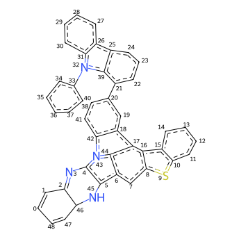 C1=CC2=Nc3c(c4cc5sc6ccccc6c5c5c6cc(-c7cccc8c9ccccc9n(-c9ccccc9)c78)ccc6n3c45)NC2C=C1